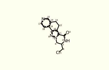 O=C1NC(CCl)Cn2nc3c(c21)CCc1cnccc1-3